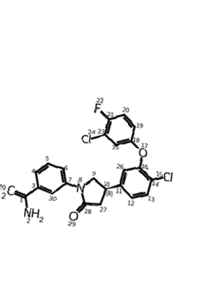 C=C(N)c1cccc(N2C[C@@H](c3ccc(Cl)c(Oc4ccc(F)c(Cl)c4)c3)CC2=O)c1